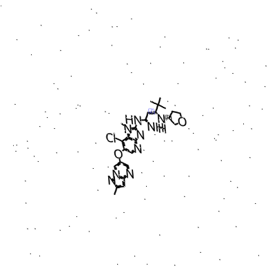 Cc1cc2ncc(Oc3cnc4nc(NC(=N)/C=C(\N[C@@H]5CCOC5)C(C)(C)C)n(C)c4c3Cl)cn2n1